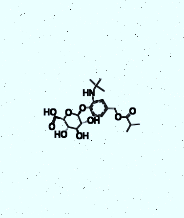 CC(C)C(=O)OCc1ccc(O[C@@H]2O[C@H](C(=O)O)[C@@H](O)[C@H](O)[C@H]2O)c(NC(C)(C)C)c1